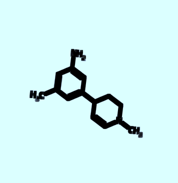 Cc1cc(N)cc(C2C=CN(C)CC2)c1